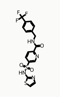 O=C(NCc1ccc(C(F)(F)F)cc1)c1ccc(S(=O)(=O)Nc2nccs2)cn1